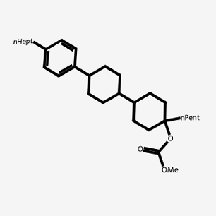 CCCCCCCc1ccc(C2CCC(C3CCC(CCCCC)(OC(=O)OC)CC3)CC2)cc1